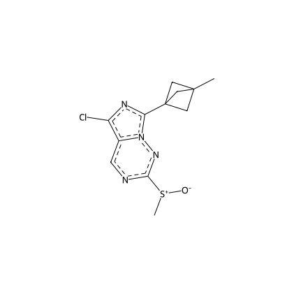 C[S+]([O-])c1ncc2c(Cl)nc(C34CC(C)(C3)C4)n2n1